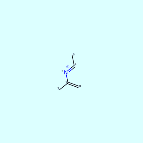 C=C(C)/N=C/C